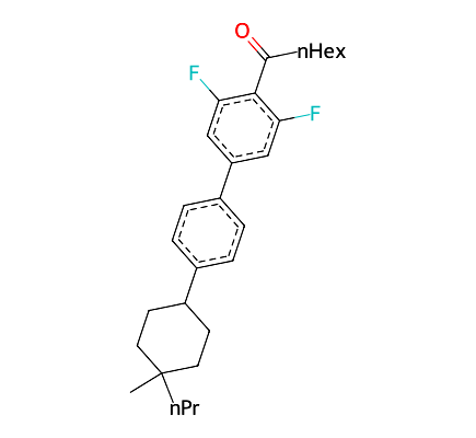 CCCCCCC(=O)c1c(F)cc(-c2ccc(C3CCC(C)(CCC)CC3)cc2)cc1F